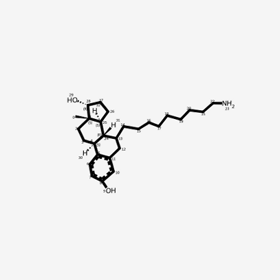 C[C@]12CC[C@@H]3c4ccc(O)cc4CC(CCCCCCCCCN)[C@H]3[C@@H]1CC[C@H]2O